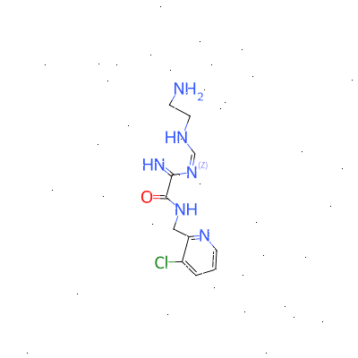 N=C(/N=C\NCCN)C(=O)NCc1ncccc1Cl